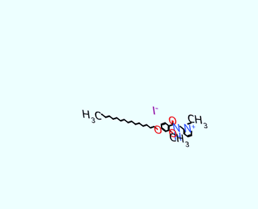 CCCCCCCCCCCCCCCCOc1ccc(C(=O)NCc2cccc[n+]2CCC)c(OC)c1.[I-]